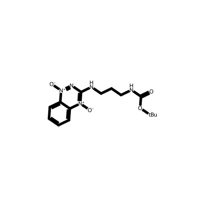 CC(C)(C)OC(=O)NCCCNc1n[n+]([O-])c2ccccc2[n+]1[O-]